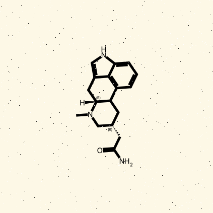 CN1C[C@@H](CC(N)=O)CC2c3cccc4[nH]cc(c34)C[C@H]21